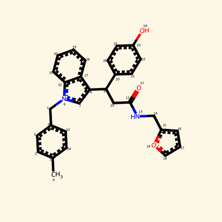 Cc1ccc(Cn2cc(C(CC(=O)NCc3ccco3)c3ccc(O)cc3)c3ccccc32)cc1